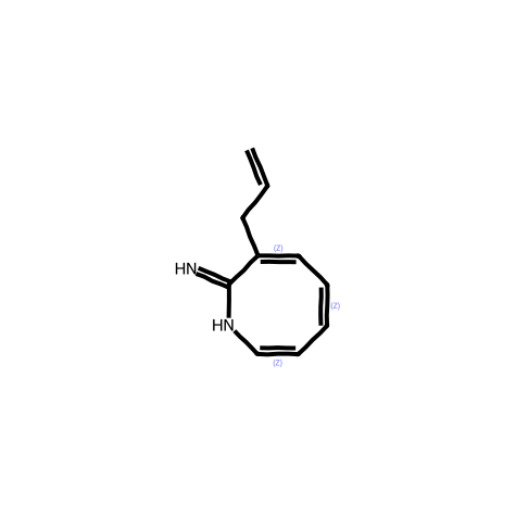 C=CC/C1=C/C=C\C=C/NC1=N